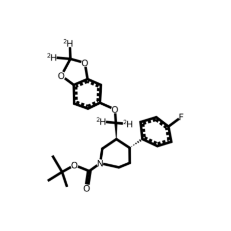 [2H]C1([2H])Oc2ccc(OC([2H])([2H])[C@@H]3CN(C(=O)OC(C)(C)C)CC[C@H]3c3ccc(F)cc3)cc2O1